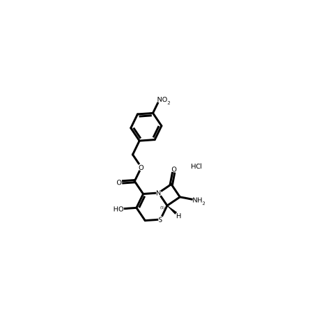 Cl.NC1C(=O)N2C(C(=O)OCc3ccc([N+](=O)[O-])cc3)=C(O)CS[C@@H]12